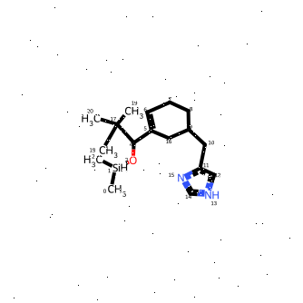 C[SiH](C)OC(C1=CCCC(Cc2c[nH]cn2)C1)C(C)(C)C